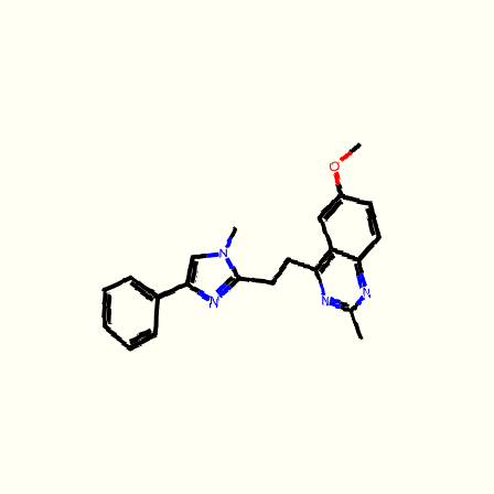 COc1ccc2nc(C)nc(CCc3nc(-c4ccccc4)cn3C)c2c1